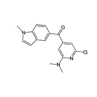 CN(C)c1cc(C(=O)c2ccc3c(ccn3C)c2)cc(Cl)n1